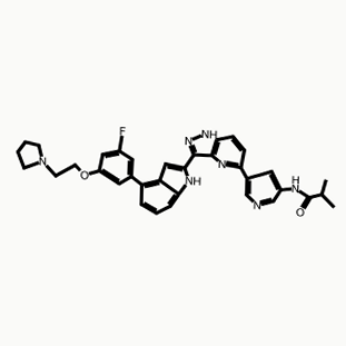 CC(C)C(=O)Nc1cncc(-c2ccc3[nH]nc(-c4cc5c(-c6cc(F)cc(OCCN7CCCC7)c6)cccc5[nH]4)c3n2)c1